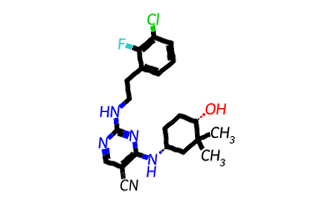 CC1(C)C[C@H](Nc2nc(NCCc3cccc(Cl)c3F)ncc2C#N)CC[C@@H]1O